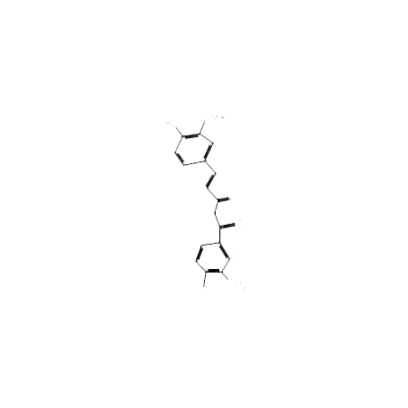 COc1cc(C=CC(=O)CC(=O)c2ccc(Cl)c(C)c2)ccc1O